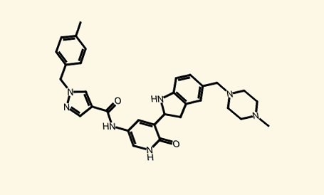 Cc1ccc(Cn2cc(C(=O)Nc3c[nH]c(=O)c(C4Cc5cc(CN6CCN(C)CC6)ccc5N4)c3)cn2)cc1